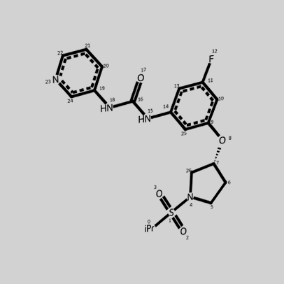 CC(C)S(=O)(=O)N1CC[C@@H](Oc2cc(F)cc(NC(=O)Nc3cccnc3)c2)C1